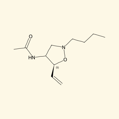 C=C[C@@H]1ON(CCCC)CC1NC(C)=O